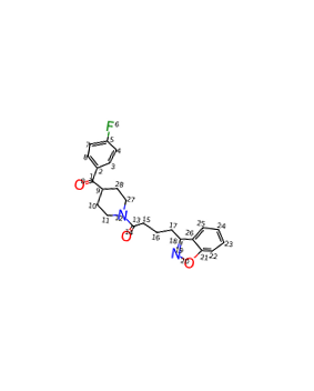 O=C(c1ccc(F)cc1)C1CCN(C(=O)CCCc2noc3ccccc23)CC1